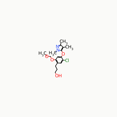 COCOc1cc(Oc2c(C)c(C)nn2C)c(Cl)cc1CCCO